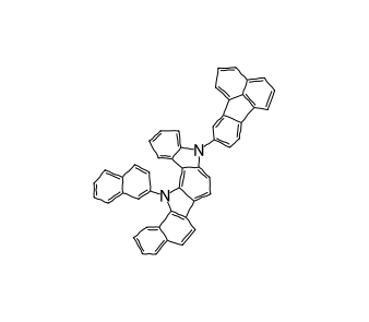 c1ccc2cc(-n3c4c5ccccc5ccc4c4ccc5c(c6ccccc6n5-c5ccc6c(c5)-c5cccc7cccc-6c57)c43)ccc2c1